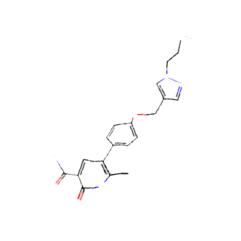 COCCn1cc(COc2ccc(-c3cc(C(N)=O)c(=O)[nH]c3C(F)(F)F)cc2)cn1